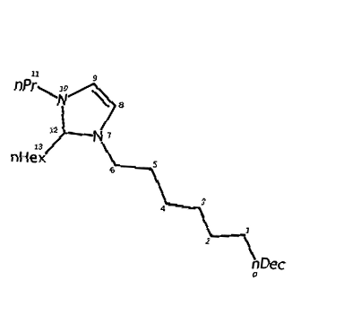 CCCCCCCCCCCCCCCCN1C=CN(CCC)C1CCCCCC